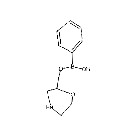 OB(OC1CNCCO1)c1ccccc1